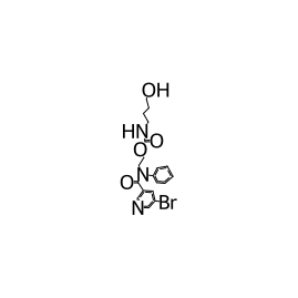 O=C(NCCCCO)OCCN(C(=O)c1cncc(Br)c1)c1ccccc1